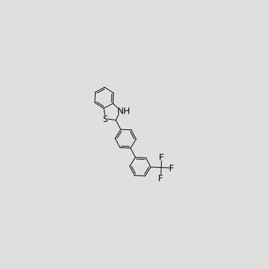 FC(F)(F)c1cccc(-c2ccc(C3Nc4ccccc4S3)cc2)c1